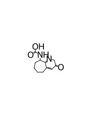 O=C1C=C2CCCCC(NC(=O)O)C2=NC1